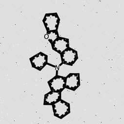 c1ccc(N(c2cccc3cc4c(cc23)oc2ccccc24)c2cc3ccc4ccccc4c3c3ccccc23)cc1